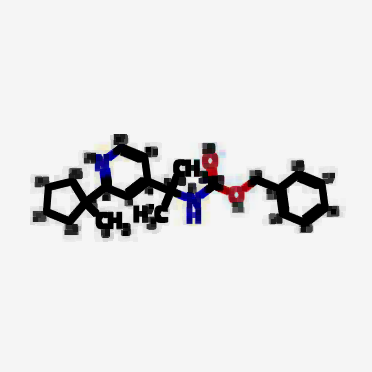 CC1(c2cc(C(C)(C)NC(=O)OCc3ccccc3)ccn2)CCCC1